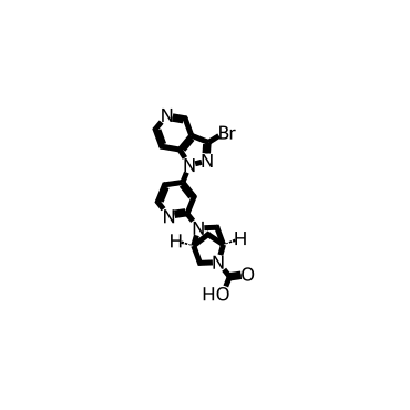 O=C(O)N1C[C@@H]2C[C@H]1CN2c1cc(-n2nc(Br)c3cnccc32)ccn1